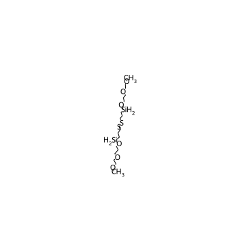 COCCOCCCO[SiH2]CCCSSCCC[SiH2]OCCCOCCOC